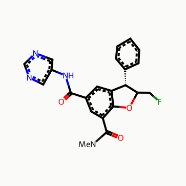 CNC(=O)c1cc(C(=O)Nc2cncnc2)cc2c1OC(CF)[C@H]2c1ccccc1